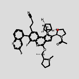 CC(=O)N1CCCC1c1cc2c(O[C@@H](C)C3CCCN3C)nc3c(F)c(-c4cccc5ncc(F)cc45)c(CCC#N)cc3c2n1[C@H]1[C@H]2CN[C@@H]1C2